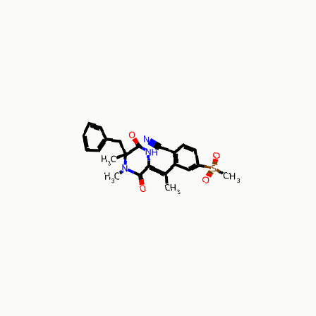 CC(=C1NC(=O)C(C)(Cc2ccccc2)N(C)C1=O)c1cc(S(C)(=O)=O)ccc1C#N